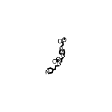 COC(=O)CCN1CCN(CC2CN(CCCC3CCN(C)CC3)C(=O)O2)CC1